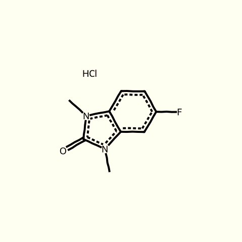 Cl.Cn1c(=O)n(C)c2cc(F)ccc21